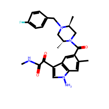 CNC(=O)C(=O)c1cn(N)c2cc(C)c(C(=O)N3C[C@H](C)N(Cc4ccc(F)cc4)C[C@H]3C)cc12